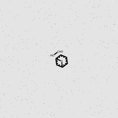 O=CO.c1cc2cc(c1)O2